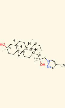 C[C@@H]1CC[C@H]([C@](C)(O)Cn2cc(C#N)cn2)[C@@]2(C)CC[C@H]3[C@@H](CC[C@@H]4C[C@](C)(O)CC[C@@H]43)[C@H]12